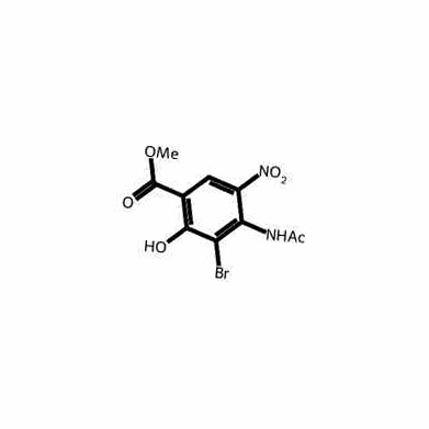 COC(=O)c1cc([N+](=O)[O-])c(NC(C)=O)c(Br)c1O